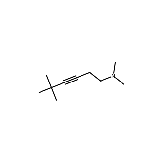 CN(C)CCC#CC(C)(C)C